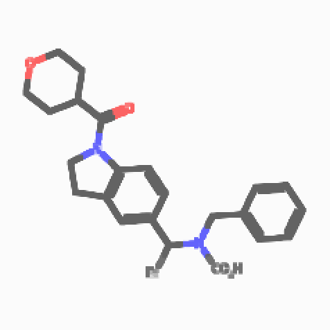 CCC(c1ccc2c(c1)CCN2C(=O)C1CCOCC1)N(Cc1ccccc1)C(=O)O